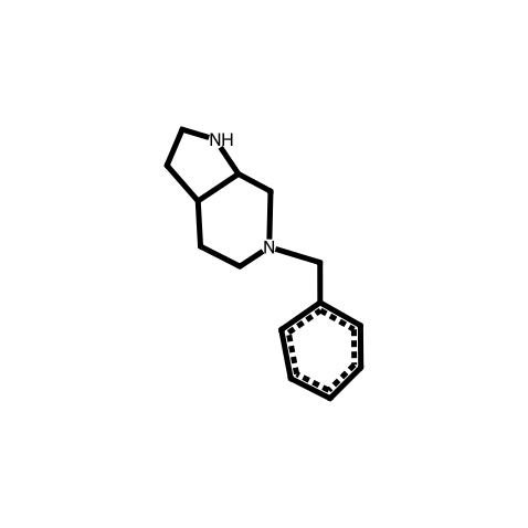 c1ccc(CN2CCC3CCNC3C2)cc1